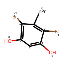 CCCc1c(Br)c(O)cc(O)c1Br